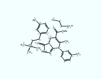 COC(=O)C1=C(C)N(c2cccc(C(F)(F)F)c2)c2n[nH]c(=O)n2[C@@H]1c1ccc(C#N)cc1CC[N+](C)(C)C.O=S(=O)(O)CCO